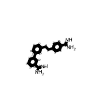 N=C(N)c1ccc(CCc2cccc(-c3cccc(C(=N)N)c3)c2)cc1